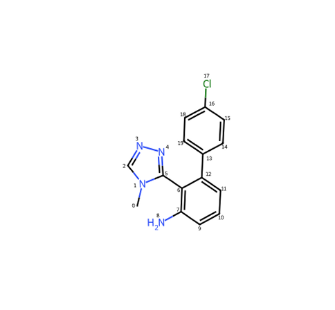 Cn1cnnc1-c1c(N)cccc1-c1ccc(Cl)cc1